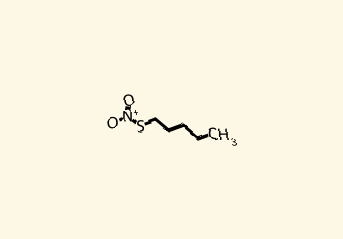 CCCCCS[N+](=O)[O-]